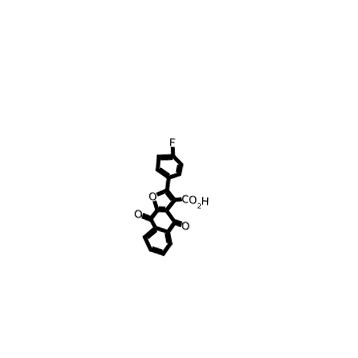 O=C1c2ccccc2C(=O)c2c1oc(-c1ccc(F)cc1)c2C(=O)O